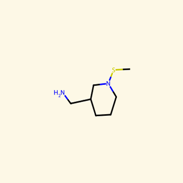 CSN1CCCC(CN)C1